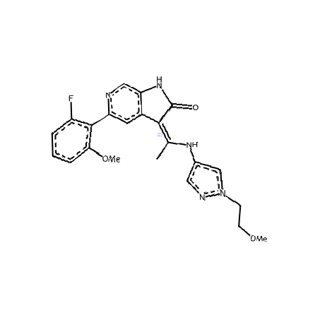 COCCn1cc(N/C(C)=C2\C(=O)Nc3cnc(-c4c(F)cccc4OC)cc32)cn1